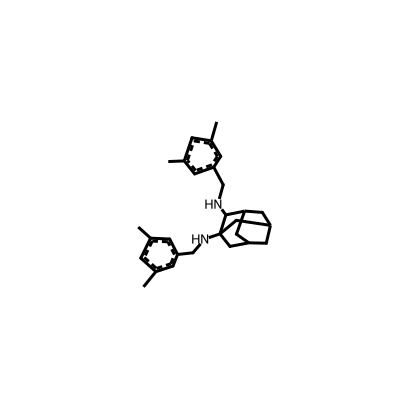 Cc1cc(C)cc(CNC2C3CC4CC(C3)CC2(NCc2cc(C)cc(C)c2)C4)c1